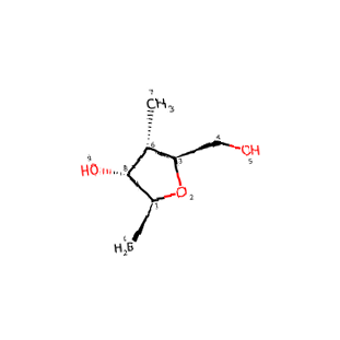 B[C@@H]1O[C@H](CO)[C@@H](C)[C@H]1O